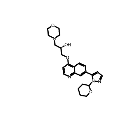 O[C@@H](COc1ccnc2cc(-c3ccnn3C3CCCCO3)ccc12)CN1CCOCC1